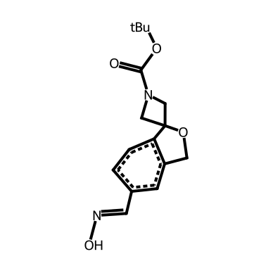 CC(C)(C)OC(=O)N1CC2(C1)OCc1cc(/C=N/O)ccc12